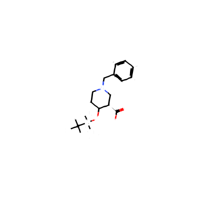 CC(C)(C)[Si](C)(C)OC1CCN(Cc2ccccc2)C[C@H]1C(=O)O